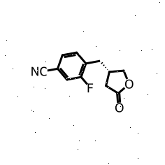 N#Cc1ccc(C[C@@H]2COC(=O)C2)c(F)c1